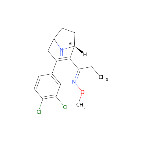 CCC(=NOC)C1=C(c2ccc(Cl)c(Cl)c2)CC2CC[C@H]1N2